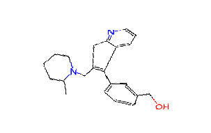 CC1CCCCN1CC1=C(c2cccc(CO)c2)c2cccnc2C1